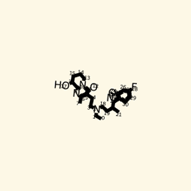 CCN(CCc1c(C)nc2n(c1=O)CCCC2O)CCC(C)c1noc2cc(F)ccc12